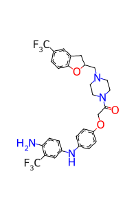 Nc1ccc(Nc2ccc(OCC(=O)N3CCN(CC4Cc5cc(C(F)(F)F)ccc5O4)CC3)cc2)cc1C(F)(F)F